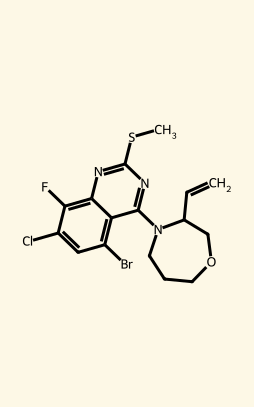 C=CC1COCCCN1c1nc(SC)nc2c(F)c(Cl)cc(Br)c12